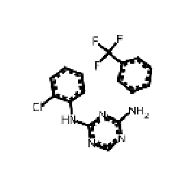 FC(F)(F)c1ccccc1.Nc1ncnc(Nc2ccccc2Cl)n1